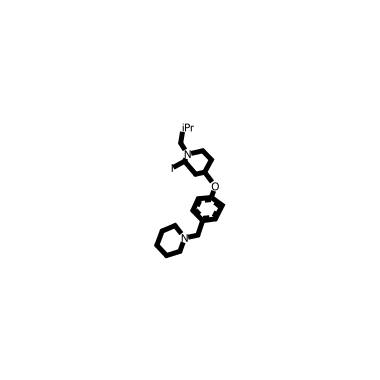 CC(C)CN1CCC(Oc2ccc(CN3CCCCC3)cc2)CC1I